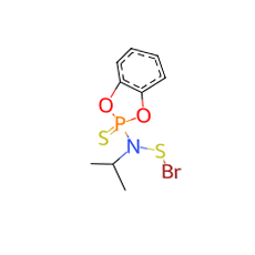 CC(C)N(SBr)P1(=S)Oc2ccccc2O1